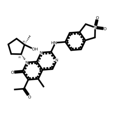 CC(=O)c1c(C)c2cnc(Nc3ccc4c(c3)CS(=O)(=O)C4)nc2n([C@@H]2CCC[C@@]2(C)O)c1=O